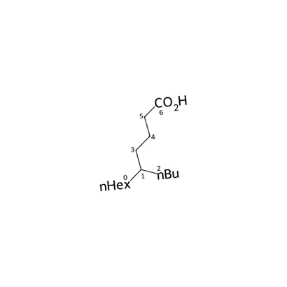 CCCCCCC(CCCC)CCCC(=O)O